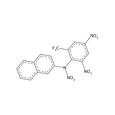 O=[N+]([O-])c1cc([N+](=O)[O-])c(N(c2ccc3ccccc3c2)[N+](=O)[O-])c(C(F)(F)F)c1